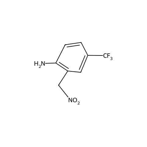 Nc1ccc(C(F)(F)F)cc1C[N+](=O)[O-]